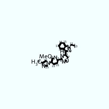 COc1nc(C2=NOCC(c3nn(CI)c4ccccc34)N2)ccc1-n1cnc(C)c1